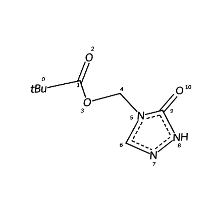 CC(C)(C)C(=O)OCn1cn[nH]c1=O